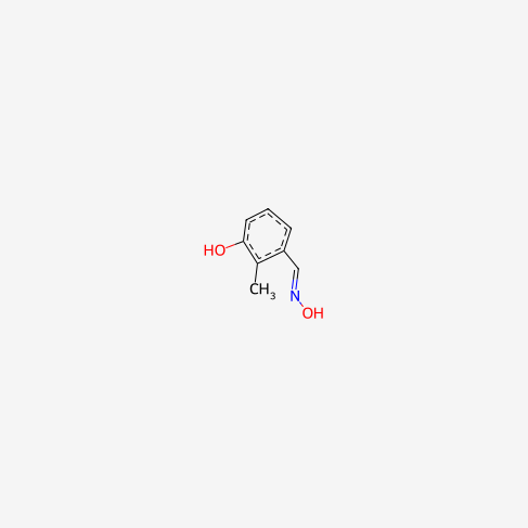 Cc1c(O)cccc1C=NO